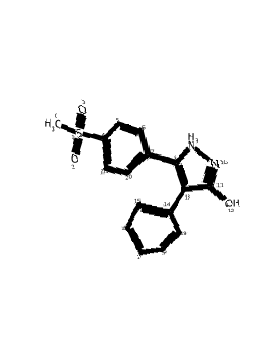 CS(=O)(=O)c1ccc(-c2[nH]nc(O)c2-c2ccccc2)cc1